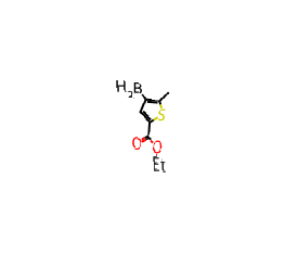 Bc1cc(C(=O)OCC)sc1C